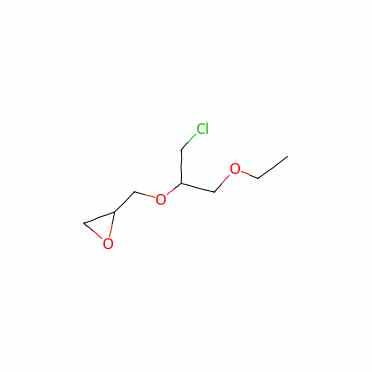 CCOCC(CCl)OCC1CO1